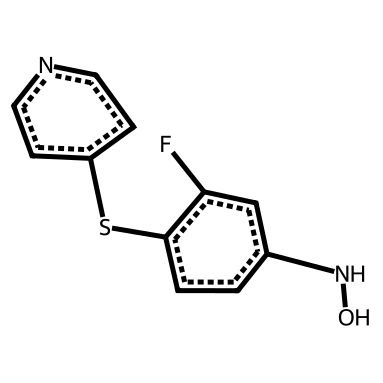 ONc1ccc(Sc2ccncc2)c(F)c1